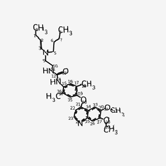 CCCCN(CCCC)CCNC(=O)Nc1cc(C)c(Oc2ccnc3cc(OC)c(OC)cc23)cc1C